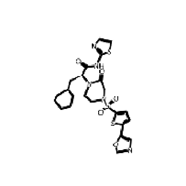 O=C(Nc1nccs1)[C@H](CC1CCCCC1)N1CCN(S(=O)(=O)c2ccc(-c3cnco3)s2)CC1=O